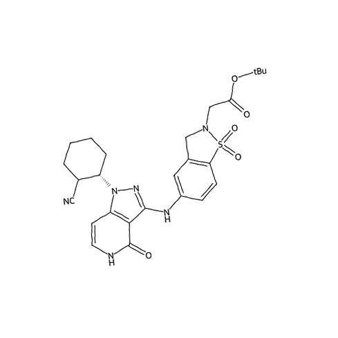 CC(C)(C)OC(=O)CN1Cc2cc(Nc3nn([C@H]4CCCCC4C#N)c4cc[nH]c(=O)c34)ccc2S1(=O)=O